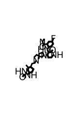 Cc1c(CCN2CCC3(CCN(c4cc[nH]c(=O)c4Nc4ccc(F)cc4C(=O)N(C)C)C3)C2)ccc2[nH]c(=O)[nH]c12